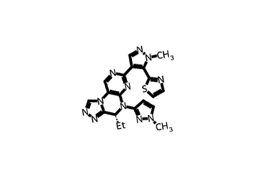 CC[C@@H]1c2nncn2-c2cnc(-c3cnn(C)c3-c3nccs3)nc2N1c1ccn(C)n1